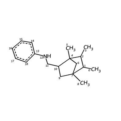 CC1C(C)C2(C)CC1(C)CC2CNc1ccccc1